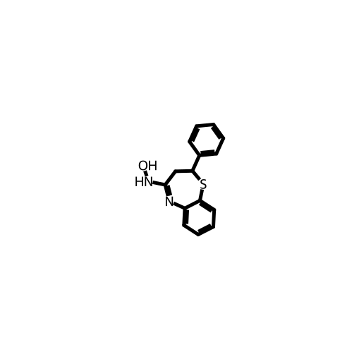 ONC1=Nc2ccccc2SC(c2ccccc2)C1